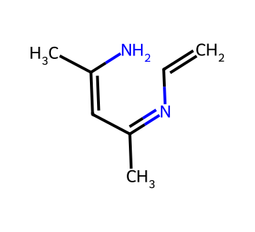 C=C/N=C(C)\C=C(\C)N